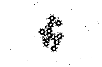 CC1C=CC=C2C1c1cc3oc4ccc(C5=C(C6NC(C)(c7ccccc7)N=C(C7CC=CCC7)N6C)CC(C6=CC(C7=CC=CCC7)CCC6C6C=CCCC6)C=N5)cc4c3cc1N2C1C=CC=CC1C